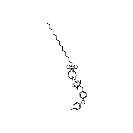 CCCCCCCCCCCCCCCCS(=O)(=O)N1CCCN(c2nc(Cc3ccc(Oc4ccc(C)cc4)cc3)ns2)CC1